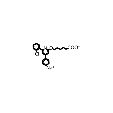 O=C([O-])CCCCCOc1cc(-c2ccccc2)cc(-c2ccccc2Cl)n1.[Na+]